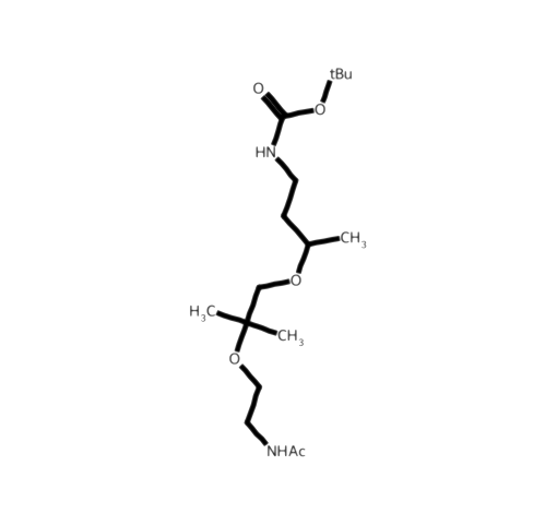 CC(=O)NCCOC(C)(C)COC(C)CCNC(=O)OC(C)(C)C